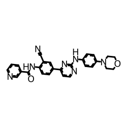 N#Cc1cc(-c2ccnc(Nc3ccc(N4CCOCC4)cc3)n2)ccc1NC(=O)c1cccnc1